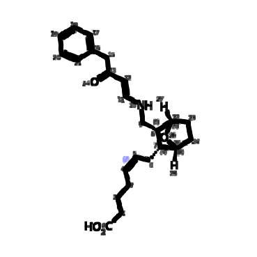 O=C(O)CCC/C=C\C[C@@H]1[C@@H](CNC=CC(=O)Cc2ccccc2)[C@@H]2CC[C@H]1O2